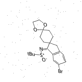 CC(C)(C)[S+]([O-])N=C1c2cc(Br)ccc2CC12CCC1(CC2)OCCO1